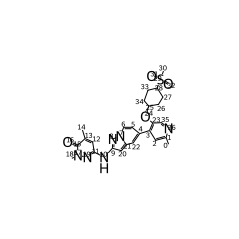 Cc1cc(-c2ccn3nc(Nc4cc(C)c(=O)n(C)n4)cc3c2)c(OC2CCC(S(C)(=O)=O)CC2)cn1